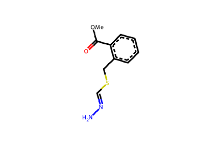 COC(=O)c1ccccc1CSC=NN